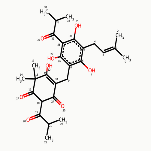 CC(C)=CCc1c(O)c(CC2=C(O)C(C)(C)C(=O)C(C(=O)C(C)C)C2=O)c(O)c(C(=O)C(C)C)c1O